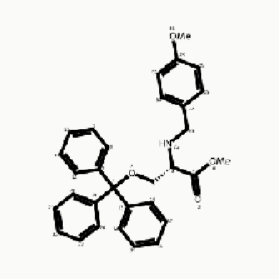 COC(=O)[C@H](COC(c1ccccc1)(c1ccccc1)c1ccccc1)NCc1ccc(OC)cc1